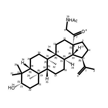 C=C(C)[C@@H]1CC[C@]2(C(=O)CNC(C)=O)CC[C@]3(C)[C@H](CC[C@@H]4[C@@]5(C)CC[C@H](O)C(C)(C)[C@@H]5CC[C@]43C)[C@@H]12